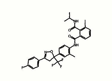 Cc1cc(C2(C(F)(F)F)CC(c3ccc(F)cc3)=NO2)ccc1NC(=O)c1cccc(I)c1C(=O)NC(C)C